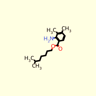 Cc1ccc(C(=O)OCCCCCC(C)C)c(N)c1C